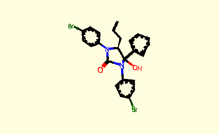 CCC[C@@H]1N(c2ccc(Br)cc2)C(=O)N(c2ccc(Br)cc2)C1(O)c1ccccc1